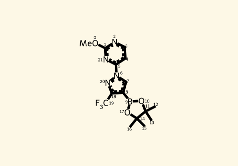 COc1nccc(-n2cc(B3OC(C)(C)C(C)(C)O3)c(C(F)(F)F)n2)n1